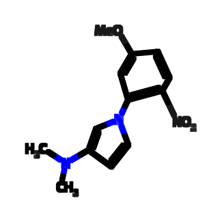 COc1ccc([N+](=O)[O-])c(-n2ccc(N(C)C)c2)c1